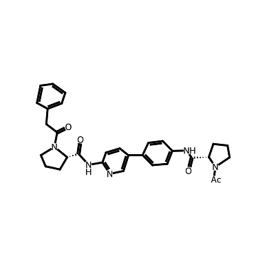 CC(=O)N1CCC[C@H]1C(=O)Nc1ccc(-c2ccc(NC(=O)[C@@H]3CCCN3C(=O)Cc3ccccc3)nc2)cc1